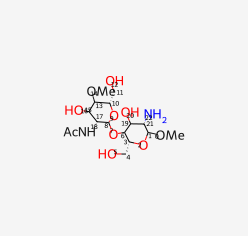 COC1O[C@H](CO)C(OC2O[C@@H](CO)C(OC)C(O)[C@H]2NC(C)=O)C(O)[C@@H]1N